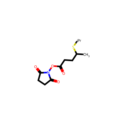 CC(C)SC(C)CCC(=O)ON1C(=O)CCC1=O